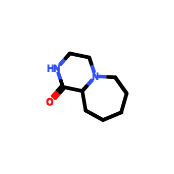 O=C1NCCN2CCCCCC12